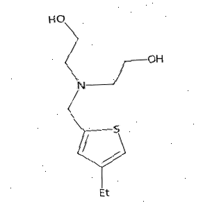 CCc1csc(CN(CCO)CCO)c1